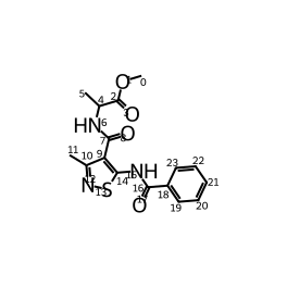 COC(=O)C(C)NC(=O)c1c(C)nsc1NC(=O)c1ccccc1